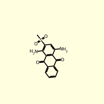 CS(=O)(=O)c1cc(N)c2c(c1N)C(=O)c1ccccc1C2=O